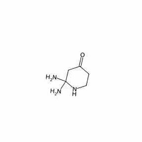 NC1(N)CC(=O)CCN1